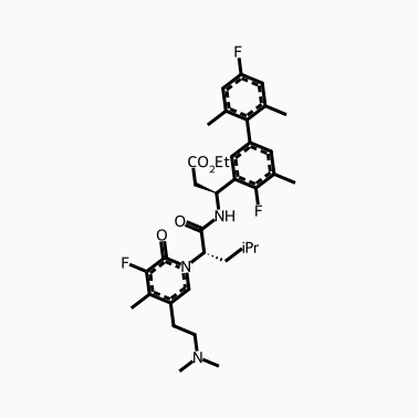 CCOC(=O)C[C@H](NC(=O)[C@H](CC(C)C)n1cc(CCN(C)C)c(C)c(F)c1=O)c1cc(-c2c(C)cc(F)cc2C)cc(C)c1F